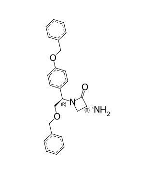 N[C@@H]1CN([C@@H](COCc2ccccc2)c2ccc(OCc3ccccc3)cc2)C1=O